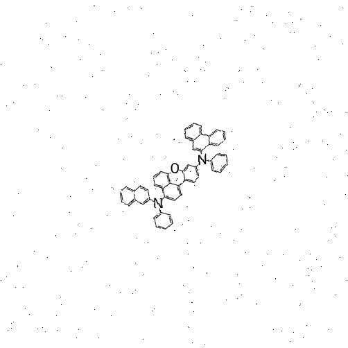 c1ccc(N(c2ccc3ccccc3c2)c2ccc3c4c(cccc24)Oc2cc(N(c4ccccc4)c4cc5ccccc5c5ccccc45)ccc2-3)cc1